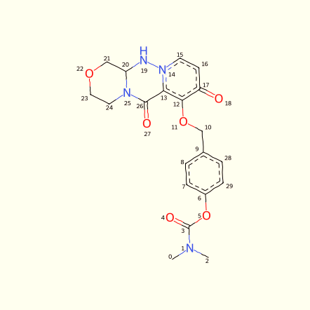 CN(C)C(=O)Oc1ccc(COc2c3n(ccc2=O)NC2COCCN2C3=O)cc1